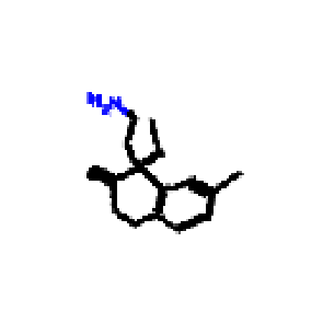 C=C1CCc2ccc(C)cc2C1(CC)CCN